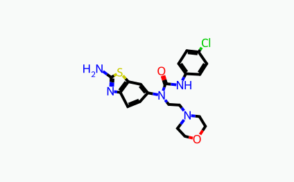 Nc1nc2ccc(N(CCN3CCOCC3)C(=O)Nc3ccc(Cl)cc3)cc2s1